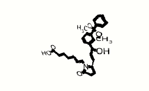 COC(OC)(c1ccccc1)c1cccc(C(O)C=C[C@H]2CCC(=O)N2CCCCCCC(=O)O)c1